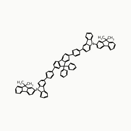 CC1(C)c2ccccc2-c2ccc(-n3c4ccccc4c4cc(-c5ccc(-c6ccc7c(c6)C(c6ccccc6)(c6ccccc6)c6cc(-c8ccc(-c9ccc%10c(c9)c9ccccc9n%10-c9ccc%10c(c9)C(C)(C)c9ccccc9-%10)cc8)ccc6-7)cc5)ccc43)cc21